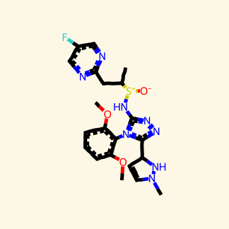 COc1cccc(OC)c1-n1c(N[S+]([O-])C(C)Cc2ncc(F)cn2)nnc1C1C=CN(C)N1